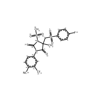 CC1(CS(=O)(=O)c2ccc(F)cc2)C(=O)N(c2ccc(C#N)c(C(F)(F)F)c2)C(=S)N1S(C)(=O)=O